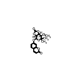 CO[C@@H]1[C@@H]2OC(=O)O[C@@H]2C(Oc2ccc3ccc(=O)oc3c2)OC1(C)C